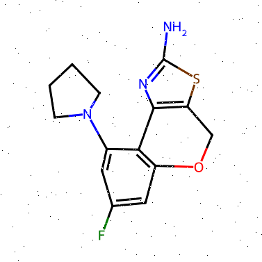 Nc1nc2c(s1)COc1cc(F)cc(N3CCCC3)c1-2